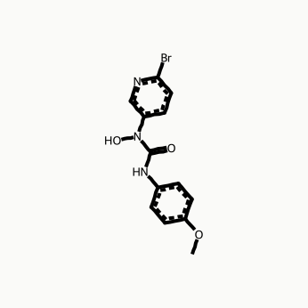 COc1ccc(NC(=O)N(O)c2ccc(Br)nc2)cc1